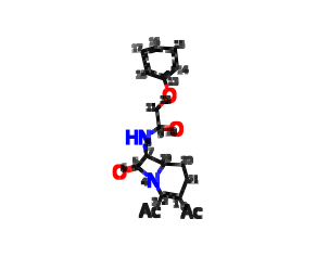 CC(=O)C1=C(C(C)=O)N2C(=O)[C@@H](NC(=O)COc3ccccc3)C2CC1